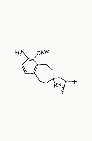 COc1c(N)ccc2c1CCC(N)(CC(F)F)CC2